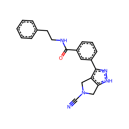 N#CN1Cc2[nH]nc(-c3cccc(C(=O)NCCc4ccccc4)c3)c2C1